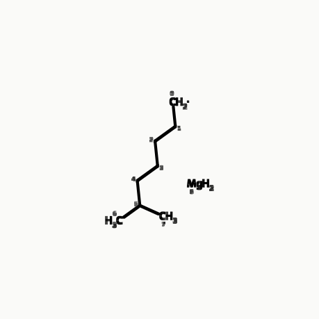 [CH2]CCCCC(C)C.[MgH2]